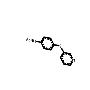 CC(=O)Nc1ccc(Sc2cccnc2)cc1